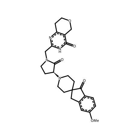 COc1ccc2c(c1)CC1(CCN([C@H]3CCN(Cc4nc5c(c(=O)[nH]4)COCC5)C3=O)CC1)C2=O